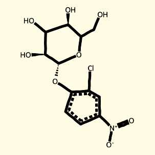 O=[N+]([O-])c1ccc(O[C@H]2OC(CO)[C@H](O)C(O)[C@@H]2O)c(Cl)c1